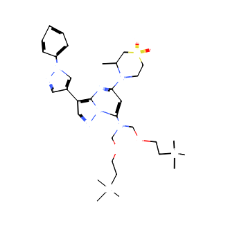 CC1CS(=O)(=O)CCN1c1cc(N(COCC[Si](C)(C)C)COCC[Si](C)(C)C)n2ncc(-c3cnn(-c4ccccc4)c3)c2n1